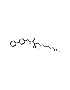 C=C(CCCCCCCC)C(=O)OSc1ccc(-c2ccccc2)cc1